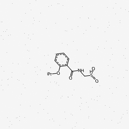 CC(C)Oc1c[c]ccc1C(=O)NC[SH](=O)=O